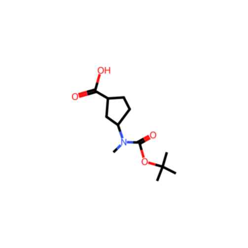 CN(C(=O)OC(C)(C)C)C1CCC(C(=O)O)C1